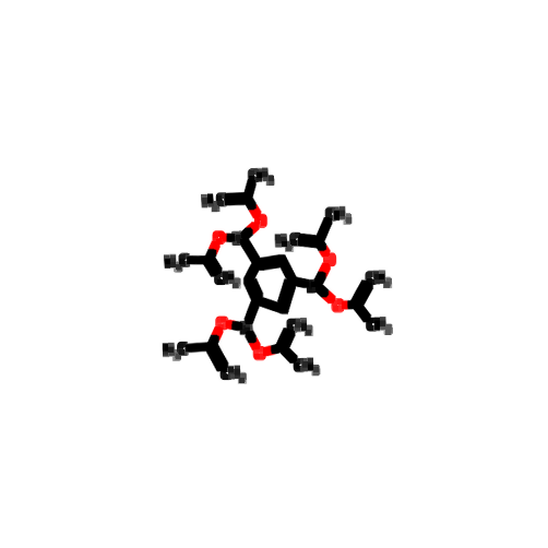 C=C(C)[O][Bi]([O]C(=C)C)[c]1c[c]([Bi]([O]C(=C)C)[O]C(=C)C)c[c]([Bi]([O]C(=C)C)[O]C(=C)C)c1